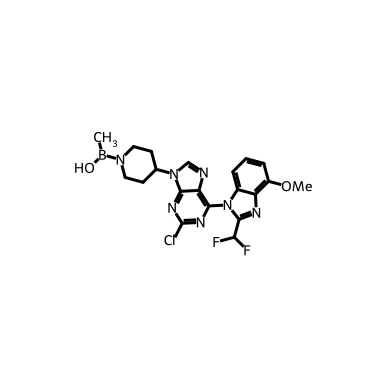 COc1cccc2c1nc(C(F)F)n2-c1nc(Cl)nc2c1ncn2C1CCN(B(C)O)CC1